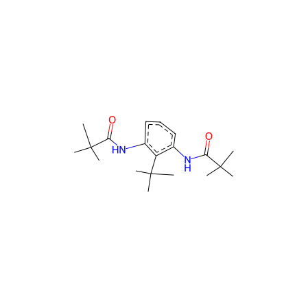 CC(C)(C)C(=O)Nc1cccc(NC(=O)C(C)(C)C)c1C(C)(C)C